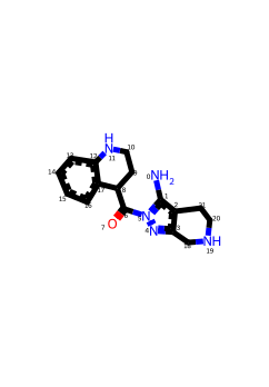 Nc1c2c(nn1C(=O)C1CCNc3ccccc31)CNCC2